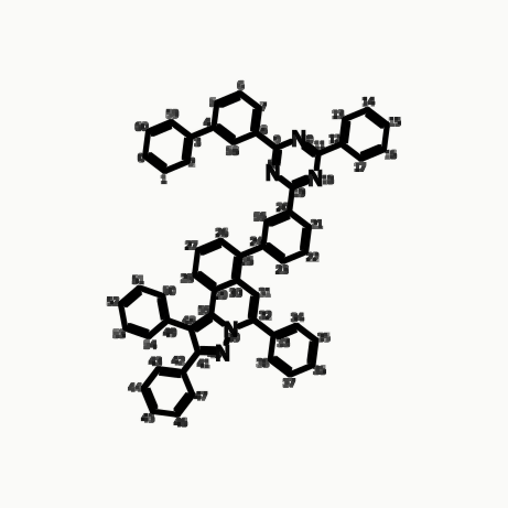 c1ccc(-c2cccc(-c3nc(-c4ccccc4)nc(-c4cccc(-c5cccc6c5cc(-c5ccccc5)n5nc(-c7ccccc7)c(-c7ccccc7)c65)c4)n3)c2)cc1